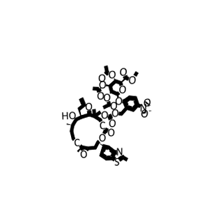 C=CC[C@H]1C(=O)C(C)(C)[C@@H](OC(=O)OCc2cc([N+](=O)[O-])ccc2O[C@@H]2O[C@H](C(=O)OC)[C@@H](OC(C)=O)[C@H](OC(C)=O)[C@H]2OC(C)=O)CC(=O)O[C@H](c2ccc3sc(C)nc3c2)CC2O[C@]2(C)CCC[C@H](C)[C@@H]1O